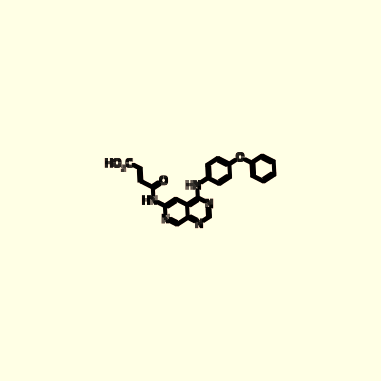 O=C(O)C=CC(=O)Nc1cc2c(Nc3ccc(Oc4ccccc4)cc3)ncnc2cn1